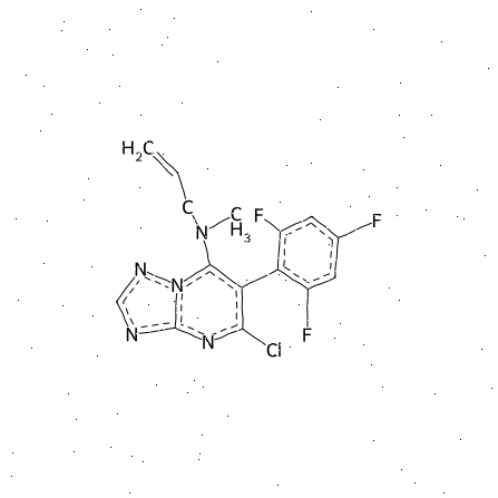 C=CCN(C)c1c(-c2c(F)cc(F)cc2F)c(Cl)nc2ncnn12